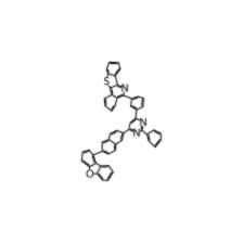 c1ccc(-c2nc(-c3cccc(-c4nc5c6ccccc6sc5c5ccccc45)c3)cc(-c3ccc4cc(-c5cccc6oc7ccccc7c56)ccc4c3)n2)cc1